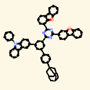 c1ccc(-n2c3ccccc3c3cc(-c4cc(-c5ccc(C67CC8CC(CC(C8)C6)C7)cc5)cc(-c5nc(-c6ccc7c(c6)oc6ccccc67)nc(-c6cccc7c6oc6ccccc67)n5)c4)ccc32)cc1